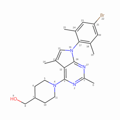 Cc1nc(N2CCC(CO)CC2)c2c(C)cn(-c3c(C)cc(Br)cc3C)c2n1